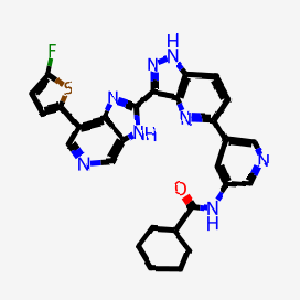 O=C(Nc1cncc(-c2ccc3[nH]nc(-c4nc5c(-c6ccc(F)s6)cncc5[nH]4)c3n2)c1)C1CCCCC1